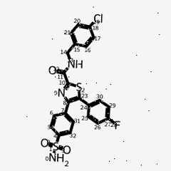 NS(=O)(=O)c1ccc(-c2nc(C(=O)NCc3ccc(Cl)cc3)sc2-c2ccc(F)cc2)cc1